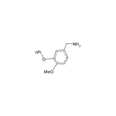 CCCOc1cc(CN)ccc1OC